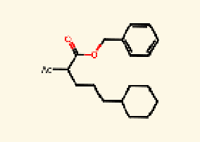 CC(=O)C(CCCC1CCCCC1)C(=O)OCc1ccccc1